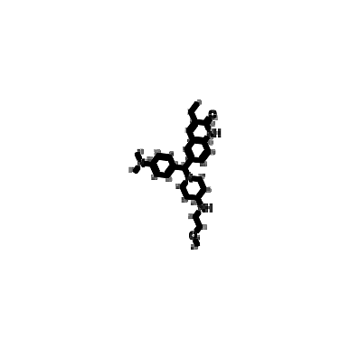 CCc1cc2cc(C(c3ccc(N(C)C)cc3)N3CCC(NCCOC)CC3)ccc2[nH]c1=O